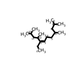 CCC(=CCCC(C)CC(C)C)C(C)CC(C)C